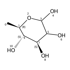 C[C@H]1OC(O)C(O)[C@@H](O)[C@@H]1O